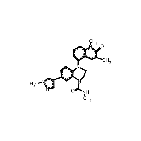 CNC(=O)N1CCN(c2cccc3c2cc(C)c(=O)n3C)c2ccc(-c3cnn(C)c3)cc21